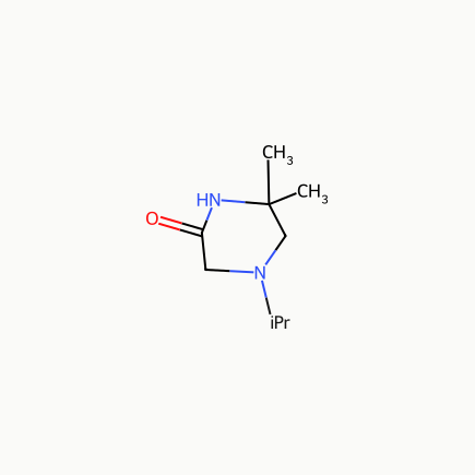 CC(C)N1CC(=O)NC(C)(C)C1